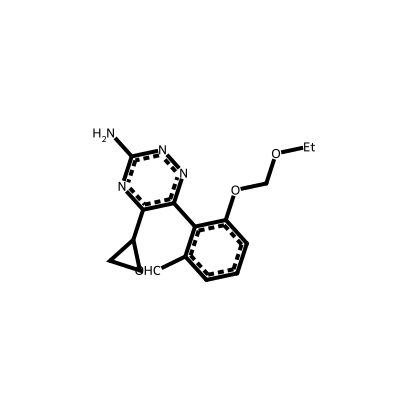 CCOCOc1cccc(C=O)c1-c1nnc(N)nc1C1CC1